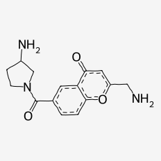 NCc1cc(=O)c2cc(C(=O)N3CCC(N)C3)ccc2o1